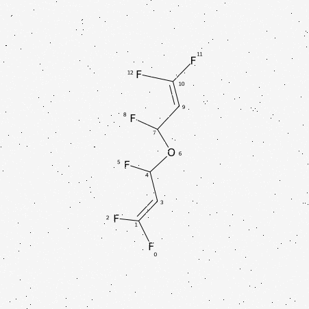 FC(F)=CC(F)OC(F)C=C(F)F